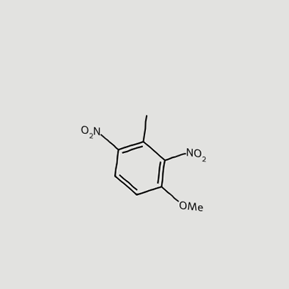 COc1ccc([N+](=O)[O-])c(C)c1[N+](=O)[O-]